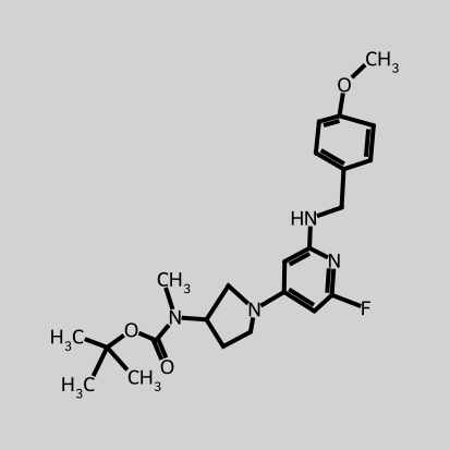 COc1ccc(CNc2cc(N3CCC(N(C)C(=O)OC(C)(C)C)C3)cc(F)n2)cc1